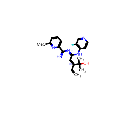 C=C/C(=C/C(=N\C(=N)c1cccc(OC)n1)Nc1ccncc1F)C(C)(C)O